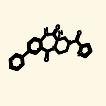 O=C1Nc2ccc(-c3ccccc3)cc2C(=O)N2CCN(C(=O)c3cccs3)C[C@H]12